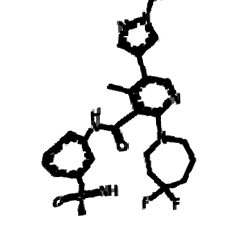 Cc1c(-c2cnn(C(C)C)c2)cnc(N2CCCC(F)(F)CC2)c1C(=O)Nc1cccc([S@](C)(=N)=O)c1